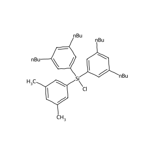 CCCCc1cc(CCCC)cc([Si](Cl)(c2cc(C)cc(C)c2)c2cc(CCCC)cc(CCCC)c2)c1